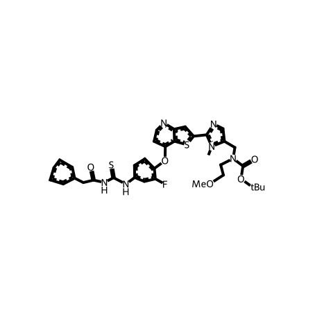 COCCN(Cc1cnc(-c2cc3nccc(Oc4ccc(NC(=S)NC(=O)Cc5ccccc5)cc4F)c3s2)n1C)C(=O)OC(C)(C)C